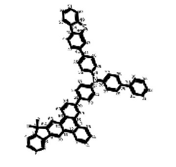 CC1(C)c2ccccc2-c2cc3c4ccccc4c4cc(-c5ccc(N(c6ccc(-c7ccccc7)cc6)c6ccc(-c7ccc8c(c7)sc7ccccc78)cc6)cc5)ccc4c3cc21